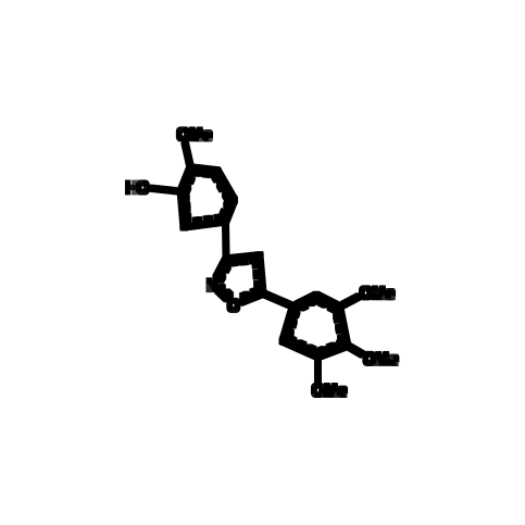 COc1ccc(-c2cc(-c3cc(OC)c(OC)c(OC)c3)on2)cc1O